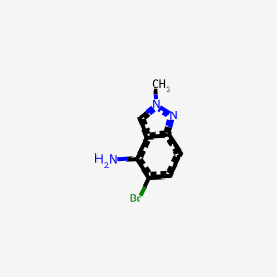 Cn1cc2c(N)c(Br)ccc2n1